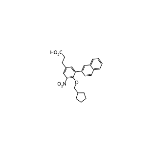 O=C(O)CCc1cc(-c2ccc3ccccc3c2)c(OCC2CCCC2)c([N+](=O)[O-])c1